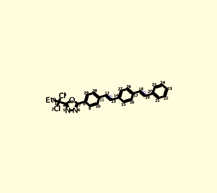 CCC(Cl)(Cl)c1nnc(-c2ccc(/C=C/c3ccc(/C=C/c4ccccc4)cc3)cc2)o1